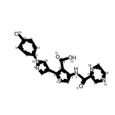 O=C(Nc1csc(-c2cnn(-c3ccc(Cl)cc3)c2)c1C(=O)O)c1cnccn1